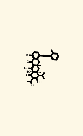 CC(=O)C1=C(O)C(C(C)C)[C@@]2(C)C[C@@]3(C)Cc4c(C#Cc5ccccc5C)ccc(O)c4C(=O)C3=C(O)[C@@]2(O)C1=O